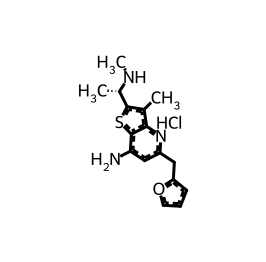 CN[C@@H](C)c1sc2c(N)cc(Cc3ccco3)nc2c1C.Cl